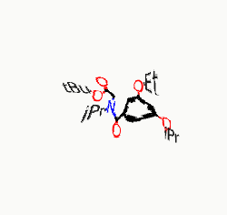 CCOc1cc(OC(C)C)cc(C(=O)N(CC(=O)OC(C)(C)C)C(C)C)c1